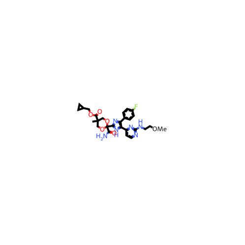 COCCNc1nccc(-c2[nH]c(C3(C(N)=O)OCC(C)(C(=O)OCC4CC4)CO3)nc2-c2ccc(F)cc2)n1